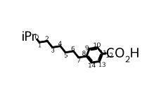 CC(C)CCCCCCCc1ccc(C(=O)O)cc1